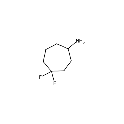 NC1CCCC(F)(F)CC1